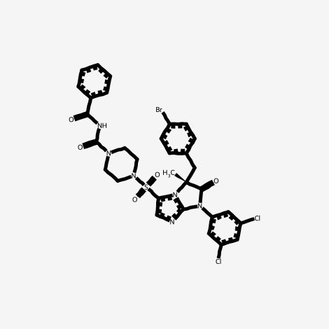 C[C@@]1(Cc2ccc(Br)cc2)C(=O)N(c2cc(Cl)cc(Cl)c2)c2ncc(S(=O)(=O)N3CCN(C(=O)NC(=O)c4ccccc4)CC3)n21